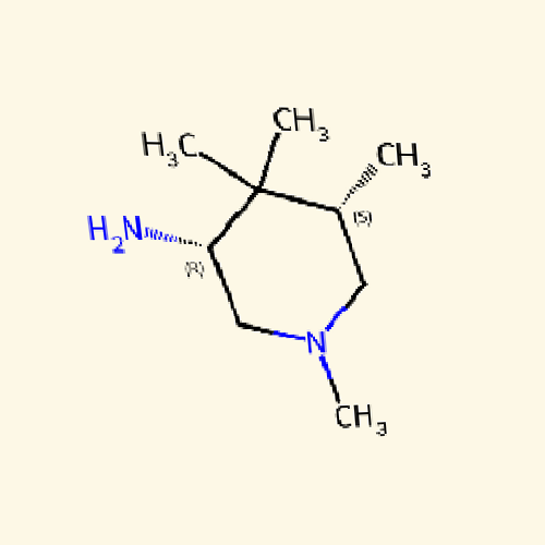 C[C@@H]1CN(C)C[C@H](N)C1(C)C